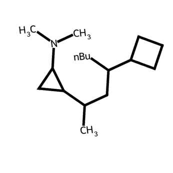 CCCCC(CC(C)C1CC1N(C)C)C1CCC1